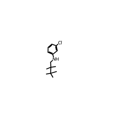 CC(C)(C)C(C)(C)CNc1cccc(Cl)c1